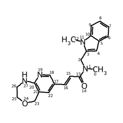 CN(Cc1cc2ccccc2n1C)C(=O)/C=C/c1cnc2c(c1)COCCN2